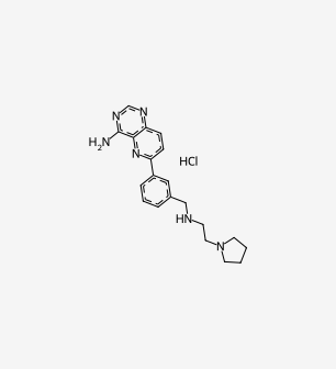 Cl.Nc1ncnc2ccc(-c3cccc(CNCCN4CCCC4)c3)nc12